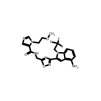 COCCn1cncc1C(=O)NCc1nc(-c2cc3c(N)cccc3n2CC(F)(F)F)no1